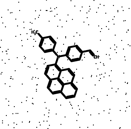 [CH]=Cc1ccc(N(c2ccc(C)cc2)c2ccc3ccc4cccc5ccc2c3c45)cc1